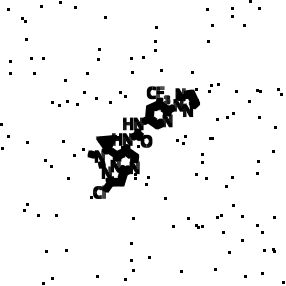 CN(C)C1(c2c(NC(=O)Nc3cnc(-n4nccn4)c(C(F)(F)F)c3)cnc3cc(Cl)nn23)CC1